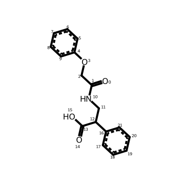 O=C(COc1ccccc1)NCC(C(=O)O)c1ccccc1